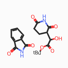 CC(C)(C)OC(=O)C(O)C1CCC(=O)NC1=O.O=C1NC(=O)c2ccccc21